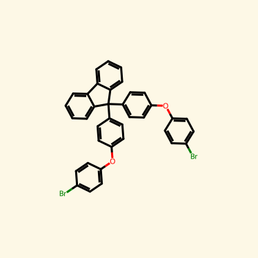 Brc1ccc(Oc2ccc(C3(c4ccc(Oc5ccc(Br)cc5)cc4)c4ccccc4-c4ccccc43)cc2)cc1